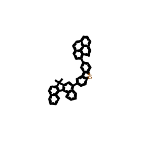 CC1(C)c2ccc3ccccc3c2-c2c1cc(-c1ccc3sc4ccc(-c5ccc6ccc7cccc8ccc5c6c78)cc4c3c1)c1ccccc21